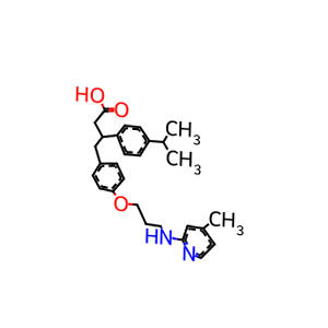 Cc1ccnc(NCCCOc2ccc(CC(CC(=O)O)c3ccc(C(C)C)cc3)cc2)c1